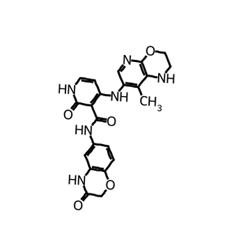 Cc1c(Nc2cc[nH]c(=O)c2C(=O)Nc2ccc3c(c2)NC(=O)CO3)cnc2c1NCCO2